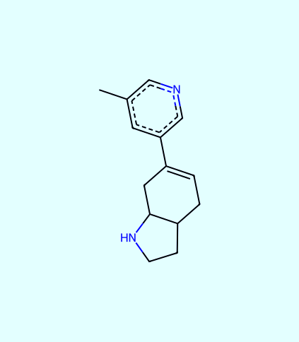 Cc1cncc(C2=CCC3CCNC3C2)c1